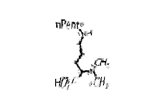 CCCCCNCCCC(C(=O)O)N(C)C